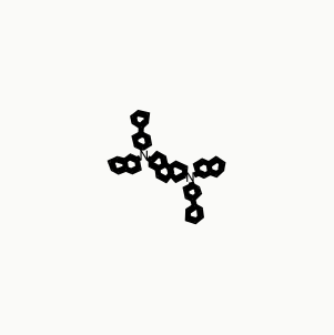 c1ccc(-c2ccc(N(c3ccc4ccccc4c3)c3ccc4c(ccc5cc(N(c6ccc(-c7ccccc7)cc6)c6ccc7ccccc7c6)ccc54)c3)cc2)cc1